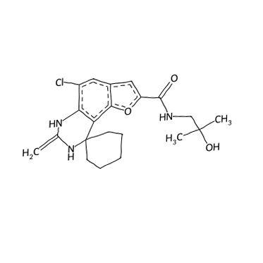 C=C1Nc2c(Cl)cc3cc(C(=O)NCC(C)(C)O)oc3c2C2(CCCCC2)N1